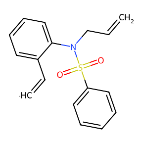 [CH]=Cc1ccccc1N(CC=C)S(=O)(=O)c1ccccc1